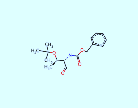 C[C@@H](OC(C)(C)C)[C@@H](C=O)[N]C(=O)OCc1ccccc1